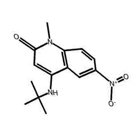 Cn1c(=O)cc(NC(C)(C)C)c2cc([N+](=O)[O-])ccc21